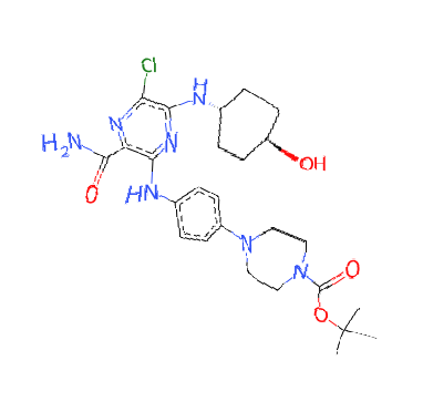 CC(C)(C)OC(=O)N1CCN(c2ccc(Nc3nc(N[C@H]4CC[C@H](O)CC4)c(Cl)nc3C(N)=O)cc2)CC1